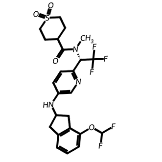 CN(C(=O)C1CCS(=O)(=O)CC1)[C@@H](c1ccc(NC2Cc3cccc(OC(F)F)c3C2)cn1)C(F)(F)F